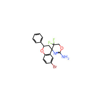 NC1=NC2(CC(c3ccccc3)Oc3ccc(Br)cc32)C(F)(F)CO1